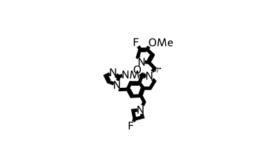 CNc1nccn1Cc1cc(CN2CC(F)C2)c2c(c1)C(=O)N([C@@H](C)c1cc(OC)c(F)cn1)CC2